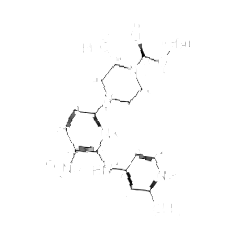 Cc1cc(Nc2nc(N3CCN(C(=O)OC(C)(C)C)[C@@H](C)C3)ccc2[N+](=O)[O-])ccn1